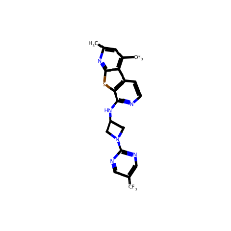 Cc1cc(C)c2c(n1)sc1c(NC3CN(c4ncc(C(F)(F)F)cn4)C3)nccc12